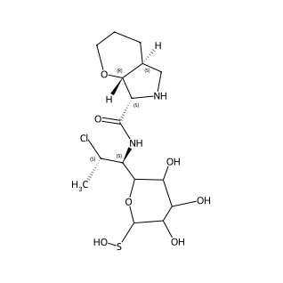 C[C@H](Cl)[C@@H](NC(=O)[C@H]1NC[C@@H]2CCCO[C@H]21)C1OC(SO)C(O)C(O)C1O